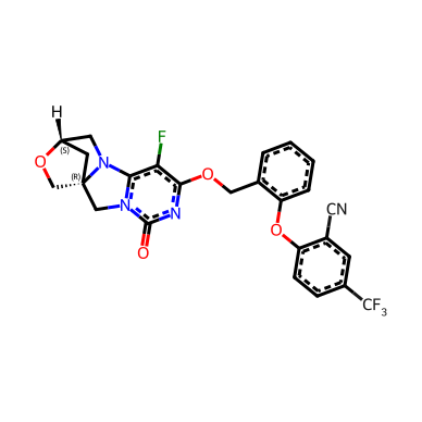 N#Cc1cc(C(F)(F)F)ccc1Oc1ccccc1COc1nc(=O)n2c(c1F)N1C[C@@H]3C[C@]1(CO3)C2